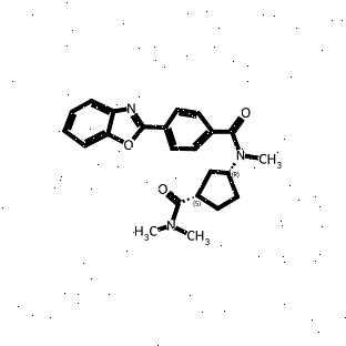 CN(C)C(=O)[C@H]1CC[C@@H](N(C)C(=O)c2ccc(-c3nc4ccccc4o3)cc2)C1